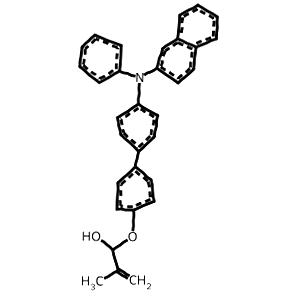 C=C(C)C(O)Oc1ccc(-c2ccc(N(c3ccccc3)c3ccc4ccccc4c3)cc2)cc1